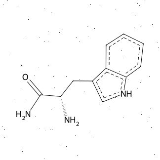 NC(=O)[C@@H](N)Cc1c[nH]c2ccccc12